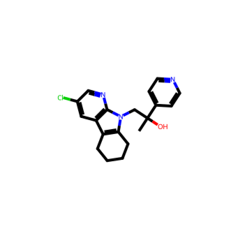 CC(O)(Cn1c2c(c3cc(Cl)cnc31)CCCC2)c1ccncc1